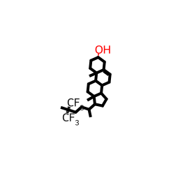 CC(CCC(C)(C(F)(F)F)C(F)(F)F)C1CCC2C3CC=C4C[C@@H](O)CCC4(C)C3CCC12C